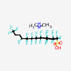 CNC.O=S(=O)(O)C(F)(F)C(F)(F)C(F)(F)C(F)(F)C(F)(F)C(F)(F)C(F)(F)C(F)CCC(F)(F)F